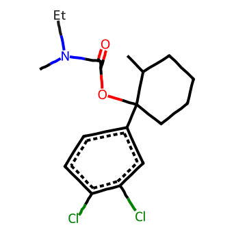 CCN(C)C(=O)OC1(c2ccc(Cl)c(Cl)c2)CCCCC1C